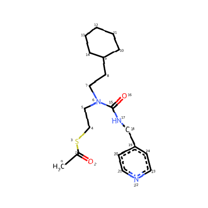 CC(=O)SCCN(CCC1CCCCC1)C(=O)NCc1ccncc1